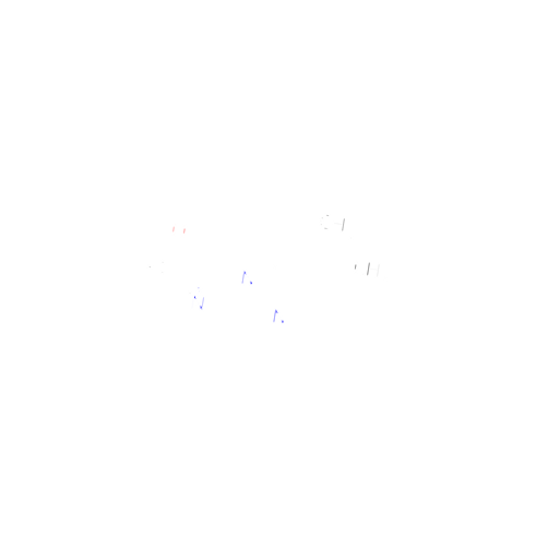 Cc1cc2ncn(C=C3C(=O)C4CCN3CC4)c2cc1C